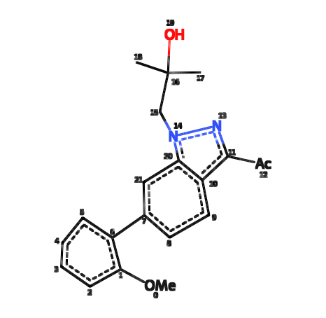 COc1ccccc1-c1ccc2c(C(C)=O)nn(CC(C)(C)O)c2c1